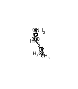 CN(C)Cc1ccc(CSCCNS(=O)(=O)c2ccc(C(N)=O)cc2)o1